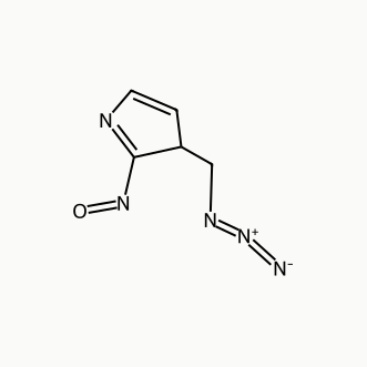 [N-]=[N+]=NCC1C=CN=C1N=O